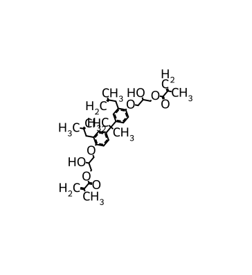 C=C(C)Cc1cc(C(C)(C)c2ccc(OCC(O)COC(=O)C(=C)C)c(CC(=C)C)c2)ccc1OCC(O)COC(=O)C(=C)C